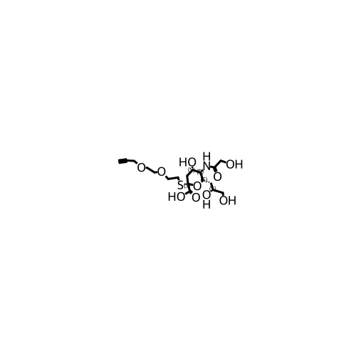 C#CCOCCOCCS[C@]1(C(=O)O)C[C@H](O)[C@@H](NC(=O)CO)[C@H](C[C@H](O)CO)O1